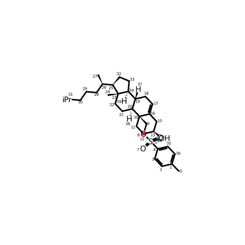 Cc1ccc(S(=O)(=O)OC[C@]23CC[C@H](O)CC2=CC[C@@H]2[C@@H]3CC[C@]3(C)[C@@H]([C@H](C)CCCC(C)C)CC[C@@H]23)cc1